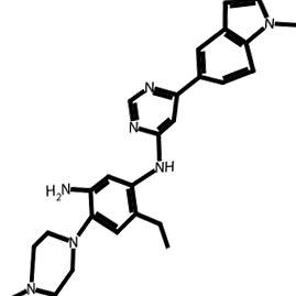 CCc1cc(N2CCN(C)CC2)c(N)cc1Nc1cc(-c2ccc3c(ccn3C)c2)ncn1